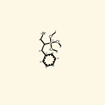 CO[Si](OC)(OC)C(CBr)Cc1ccccc1